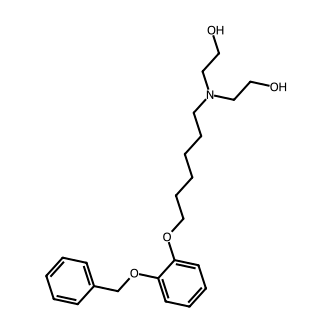 OCCN(CCO)CCCCCCOc1ccccc1OCc1ccccc1